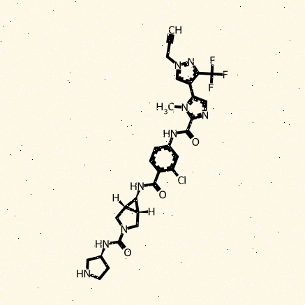 C#CCn1cc(-c2cnc(C(=O)Nc3ccc(C(=O)N[C@H]4[C@@H]5CN(C(=O)N[C@H]6CCNC6)C[C@@H]54)c(Cl)c3)n2C)c(C(F)(F)F)n1